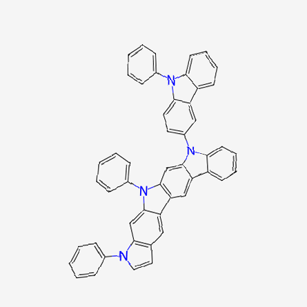 c1ccc(-n2ccc3cc4c5cc6c7ccccc7n(-c7ccc8c(c7)c7ccccc7n8-c7ccccc7)c6cc5n(-c5ccccc5)c4cc32)cc1